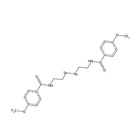 O=C(NCC[Se][Se]CCNC(=O)c1ccc(OC(F)(F)F)cc1)c1ccc(OC(F)(F)F)cc1